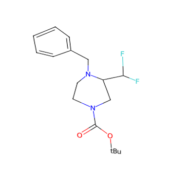 CC(C)(C)OC(=O)N1CCN(Cc2ccccc2)C(C(F)F)C1